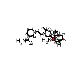 CC(=O)N(CCN1CCC[C@@H](C(N)=O)C1)CC(O)CN1[C@@H]2CC[C@H]1CC(N)C2